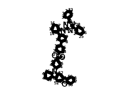 O=S(=O)(c1ccc(-c2ccc3c(c2)c2ccccc2n3-c2nc(-c3ccccc3)nc(-c3ccccc3)n2)cc1)c1ccc(-n2c3ccccc3c3cc4oc5ccccc5c4cc32)cc1